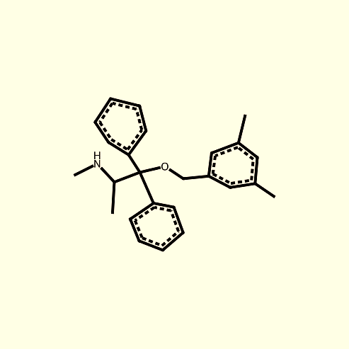 CNC(C)C(OCc1cc(C)cc(C)c1)(c1ccccc1)c1ccccc1